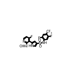 COc1nccc(F)c1-c1cc(S(=O)(=O)Nc2cc(F)c(C(F)(F)F)cc2F)c[nH]1